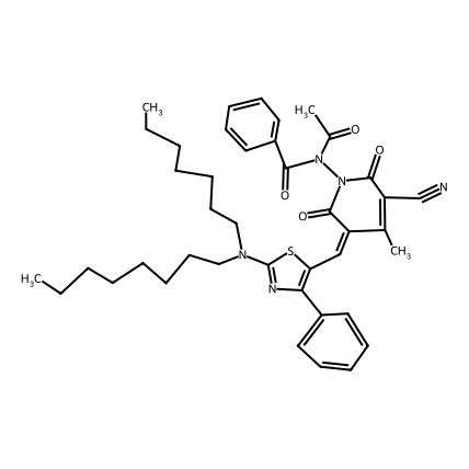 CCCCCCCCN(CCCCCCC)c1nc(-c2ccccc2)c(/C=C2\C(=O)N(N(C(C)=O)C(=O)c3ccccc3)C(=O)C(C#N)=C2C)s1